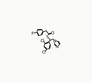 O=C(Cc1ccc(F)cc1)SC(Cn1ccnc1)c1ccc(Cl)cc1Cl